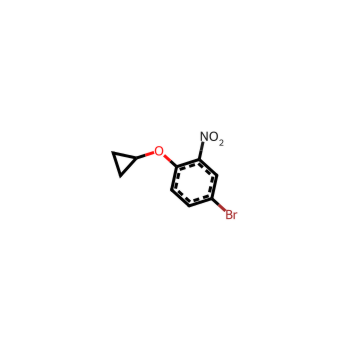 O=[N+]([O-])c1cc(Br)ccc1OC1CC1